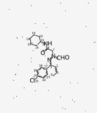 C/C=C\C(=N/N(C=O)CC(=O)NC1CCCCC1)c1ccc(Cl)cc1